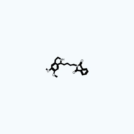 COc1cc2c(cc1OC)C(CCCCN1C(=O)c3ccccc3C1=O)NCC2